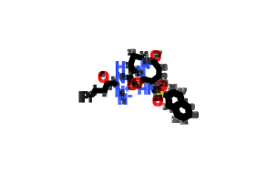 CC(C)CCC(=O)C(=[N+]=[N-])NC(=O)[C@@H]1CCCN2C(=O)CCC(NS(=O)(=O)c3ccc4ccccc4c3)C(=O)N12